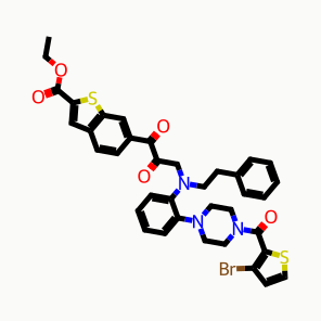 CCOC(=O)c1cc2ccc(C(=O)C(=O)CN(CCc3ccccc3)c3ccccc3N3CCN(C(=O)c4sccc4Br)CC3)cc2s1